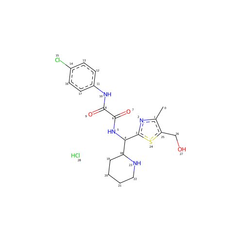 Cc1nc(C(NC(=O)C(=O)Nc2ccc(Cl)cc2)C2CCCCN2)sc1CO.Cl